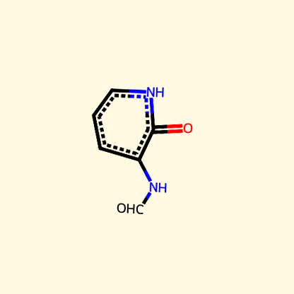 O=CNc1ccc[nH]c1=O